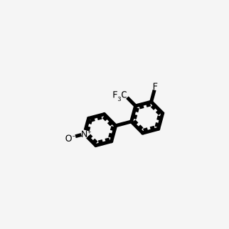 [O-][n+]1ccc(-c2cccc(F)c2C(F)(F)F)cc1